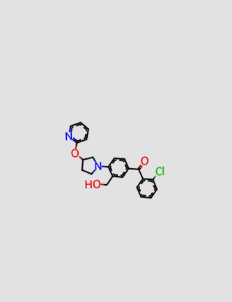 O=C(c1ccc(N2CCC(Oc3ccccn3)C2)c(CO)c1)c1ccccc1Cl